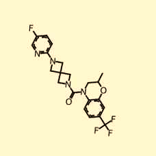 CC1CN(C(=O)N2CC3(C2)CN(c2ccc(F)cn2)C3)c2ccc(C(F)(F)F)cc2O1